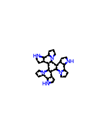 c1cc2c3[nH]ccc3c3c(c4c5cc[nH]c5c5cccn5c4c4c5cc[nH]c5c5cccn5c34)n2c1